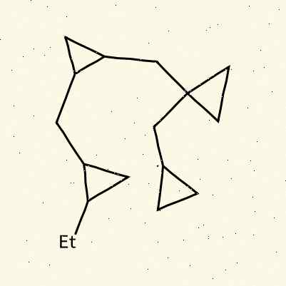 CCC1CC1CC1CC1CC1(C[C]2CC2)CC1